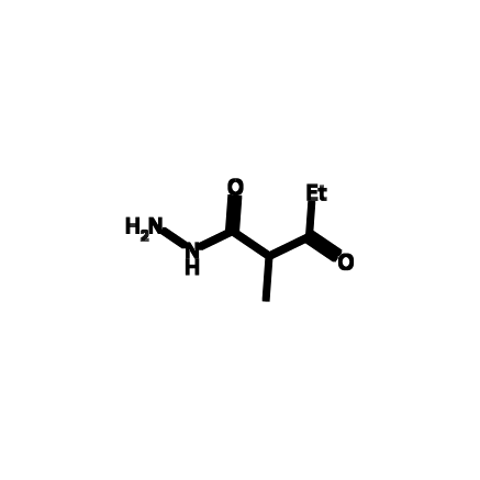 CCC(=O)C(C)C(=O)NN